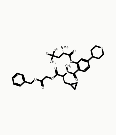 CCCC(C)(F)C[C@H](NC)C(=O)Oc1cc(C2CCOCC2)ccc1C(=O)N(C)[C@@H](CC1CC1)C(=O)OCC(=O)OCc1ccccc1